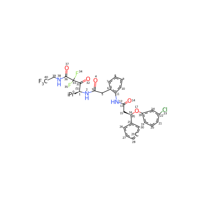 CC(C)[C@H](NC(=O)Cc1ccccc1NC(=O)C[C@@H](Oc1cccc(Cl)c1)c1ccccc1)C(=O)C(F)(F)C(=O)NCC(F)(F)F